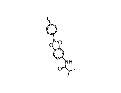 CC(C)C(=O)Nc1ccc2c(c1)ON(c1ccc(Cl)cc1)O2